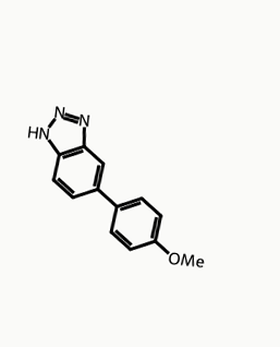 COc1ccc(-c2ccc3[nH]nnc3c2)cc1